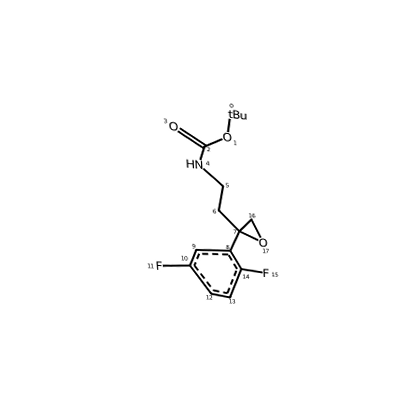 CC(C)(C)OC(=O)NCCC1(c2cc(F)ccc2F)CO1